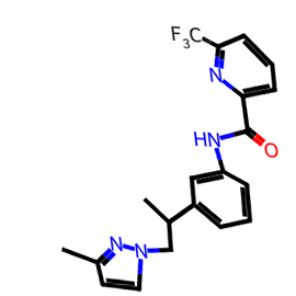 Cc1ccn(CC(C)c2cccc(NC(=O)c3cccc(C(F)(F)F)n3)c2)n1